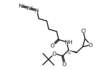 CC(C)(C)OC(=O)[C@H](CC1OC1Cl)NC(=O)CCCCN=[N+]=[N-]